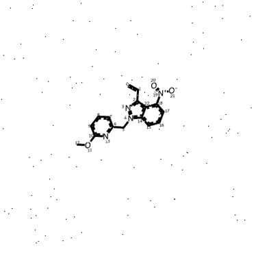 C=Cc1nn(Cc2cccc(OC)n2)c2cccc([N+](=O)[O-])c12